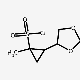 CC1(S(=O)(=O)Cl)CC1C1COCO1